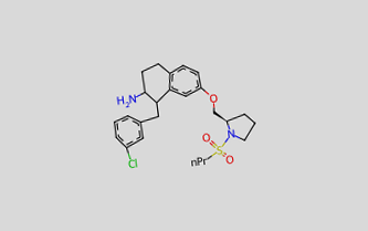 CCCS(=O)(=O)N1CCC[C@@H]1COc1ccc2c(c1)C(Cc1cccc(Cl)c1)C(N)CC2